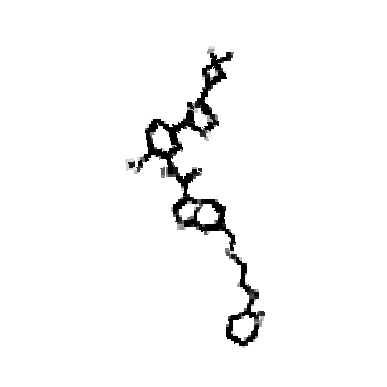 Cc1ccc(-c2nc(C3CC(F)(F)C3)no2)cc1NC(=O)c1cnc2cc(COCCOC3CCCCO3)ccn12